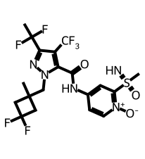 CC1(Cn2nc(C(C)(F)F)c(C(F)(F)F)c2C(=O)Nc2cc[n+]([O-])c(S(C)(=N)=O)c2)CC(F)(F)C1